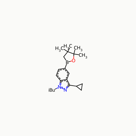 CCC(C)n1nc(C2CC2)c2cc(B3CC(C)(C)C(C)(C)O3)ccc21